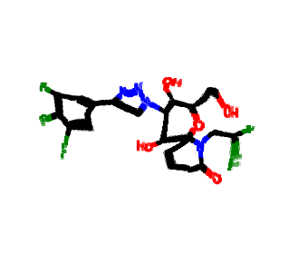 O=C1CCCC2(O[C@H](CO)[C@H](O)[C@H](n3cc(-c4cc(F)c(F)c(F)c4)nn3)C2O)N1CC(F)F